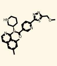 COCc1nnc(-c2ccc(C(=O)N(c3nccc4cc(C)cc(C)c34)[C@@H]3CCCNC3)cn2)s1